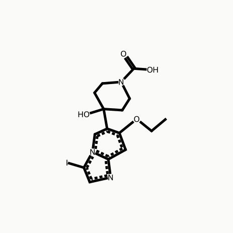 CCOc1cc2ncc(I)n2cc1C1(O)CCN(C(=O)O)CC1